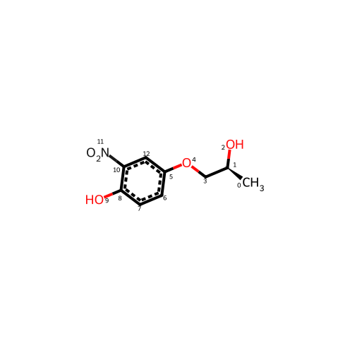 C[C@H](O)COc1ccc(O)c([N+](=O)[O-])c1